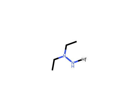 CCN(CC)[NH][Hf]